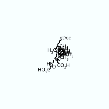 CCCCCCCCCCCCCCCCC(C)[Si](C)(O[Si](C)(C)C)O[Si](C)(CCCN(CCNC(=O)CCC(=O)O)C(=O)CCC(=O)O)O[Si](C)(C)O[Si](C)(C)C